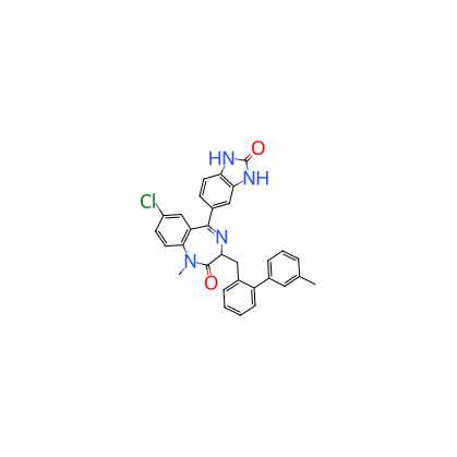 Cc1cccc(-c2ccccc2CC2N=C(c3ccc4[nH]c(=O)[nH]c4c3)c3cc(Cl)ccc3N(C)C2=O)c1